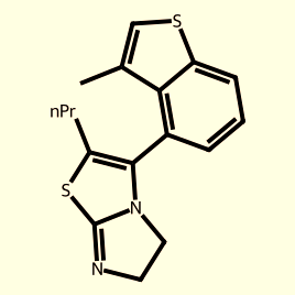 CCCC1=C(c2cccc3scc(C)c23)N2CCN=C2S1